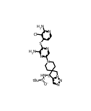 CC(C)(C)[S+]([O-])N[C@@H]1c2cnnn2CC12CCN(c1cnc(Sc3ccnc(N)c3Cl)c(N)n1)CC2